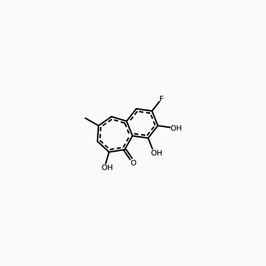 Cc1cc(O)c(=O)c2c(O)c(O)c(F)cc2c1